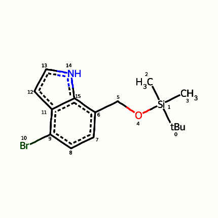 CC(C)(C)[Si](C)(C)OCc1ccc(Br)c2cc[nH]c12